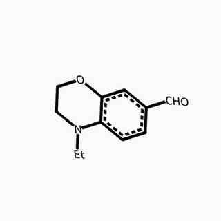 CCN1CCOc2cc(C=O)ccc21